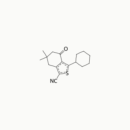 CC1(C)CC(=O)c2c(C3CCCCC3)sc(C#N)c2C1